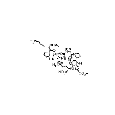 CC(=O)N[C@@H](CCCCN)C(=O)N1CCC[C@H]1C(=O)N[C@@H](CO)C(=O)N[C@@H](CO)C(=O)N1CCC[C@H]1C(=O)N1CCC[C@H]1C(=O)N[C@@H](CCC(=O)O)C(=O)N[C@@H](CCC(N)=O)C(=O)O